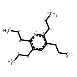 CCCc1cc(CCC)c(CCC)nc1CCC